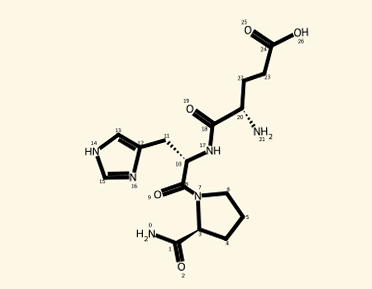 NC(=O)[C@@H]1CCCN1C(=O)[C@H](Cc1c[nH]cn1)NC(=O)[C@@H](N)CCC(=O)O